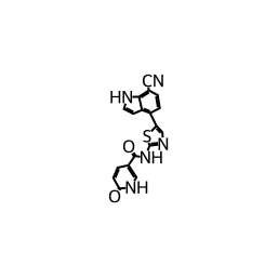 N#Cc1ccc(-c2cnc(NC(=O)c3ccc(=O)[nH]c3)s2)c2cc[nH]c12